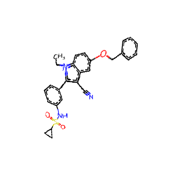 CCn1c(-c2cccc(NS(=O)(=O)C3CC3)c2)c(C#N)c2cc(OCc3ccccc3)ccc21